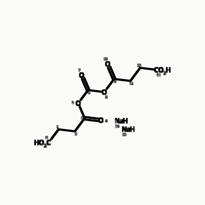 O=C(O)CCC(=O)OC(=O)OC(=O)CCC(=O)O.[NaH].[NaH]